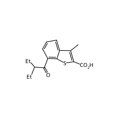 CCC(CC)C(=O)c1cccc2c(C)c(C(=O)O)sc12